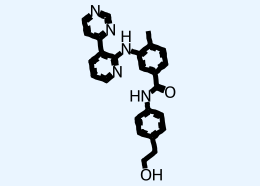 Cc1ccc(C(=O)Nc2ccc(CCO)cc2)cc1Nc1ncccc1-c1ccncn1